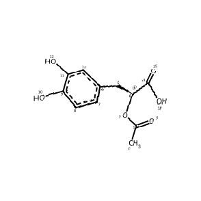 CC(=O)O[C@@H](Cc1ccc(O)c(O)c1)C(=O)O